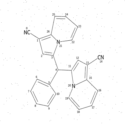 N#Cc1cc(C(c2ccccc2)c2cc(C#N)c3ccccn23)n2ccccc12